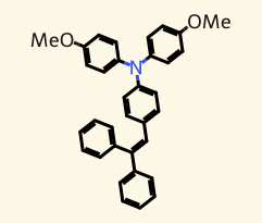 COc1ccc(N(c2ccc(C=C(c3ccccc3)c3ccccc3)cc2)c2ccc(OC)cc2)cc1